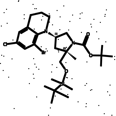 CC(C)(C)OC(=O)N1C[C@@H](N2CCCc3cc(Cl)cc(Br)c32)C[C@]1(C)CO[Si](C)(C)C(C)(C)C